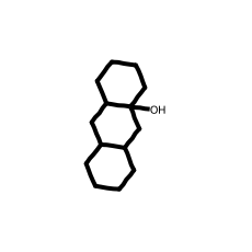 OC12CCCCC1CC1CCCCC1C2